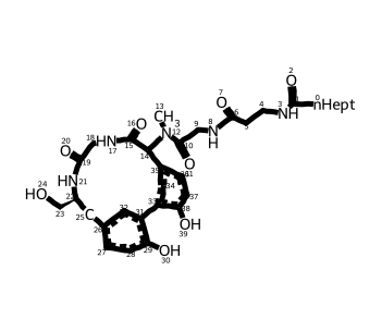 CCCCCCCC(=O)NCCC(=O)NCC(=O)N(C)C1C(=O)NCC(=O)N[C@H](CO)Cc2ccc(O)c(c2)-c2cc1ccc2O